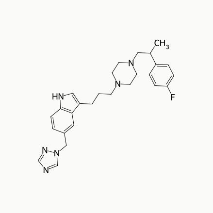 CC(CN1CCN(CCCc2c[nH]c3ccc(Cn4cncn4)cc23)CC1)c1ccc(F)cc1